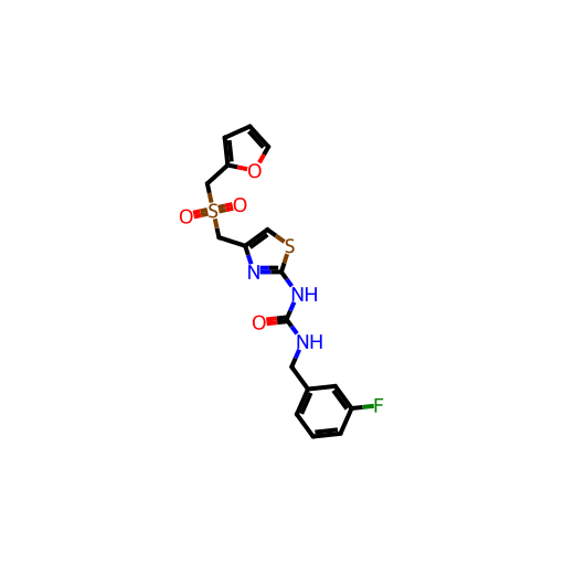 O=C(NCc1cccc(F)c1)Nc1nc(CS(=O)(=O)Cc2ccco2)cs1